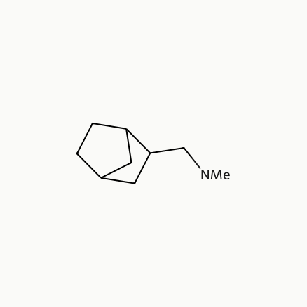 CNCC1CC2CCC1C2